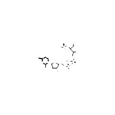 C[C@@](CO)(OP(=O)(O)O)C(O)COP(=O)(O)OP(=O)(O)OC[C@H]1O[C@@H](n2ccc(=N)nc2O)[C@H](O)[C@@H]1O